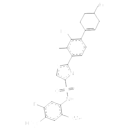 COc1cc(C(=O)O)c(F)cc1NS(=O)(=O)c1csc(-c2ccc(C3=CCC(C(C)C)CC3)c(C)c2F)n1